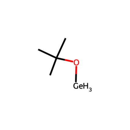 CC(C)(C)[O][GeH3]